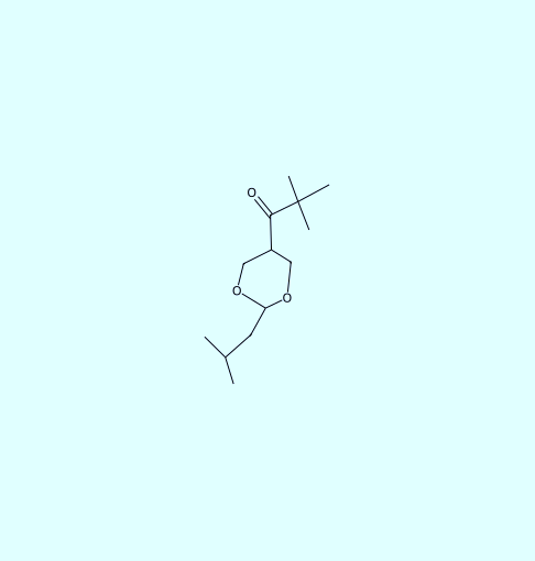 CC(C)CC1OCC(C(=O)C(C)(C)C)CO1